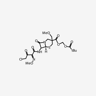 COCC1(C(=O)OCOC(=O)C(C)(C)C)CS[C@@H]2C(NC(=O)C(=NOC)C(=O)CCl)C(=O)N2C1